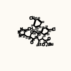 CCC(CS(=O)(=O)C(C)(C)C)N1C(=O)[C@@H](Cc2nnnn2C)O[C@H](c2cccc(Cl)c2)[C@H]1c1ccc(Cl)cc1